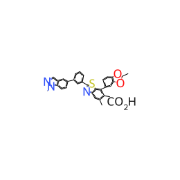 Cc1cc2nc(-c3cccc(-c4ccc5c(cnn5C)c4)c3)sc2c(-c2ccc3c(c2)OC(C)O3)c1CC(=O)O